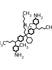 CCCCCCCCC(c1ccc(C(CCCC)c2ccc(N)cc2C)cc1)(c1ccc(C(CCCC)c2ccc(N)cc2C)cc1)C1CCCCC1